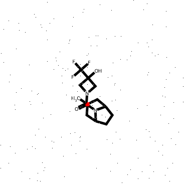 CN1CC2CCC(C1)N2C(=O)N1CC(O)(C(F)(F)F)C1